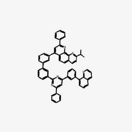 CC(C)c1ccc2ccc3c(-c4cccc(-c5cccc(-c6nc(-c7ccccc7)cc(-c7cccc(-c8cccc9cccnc89)c7)n6)c5)c4)cc(-c4ccccc4)nc3c2n1